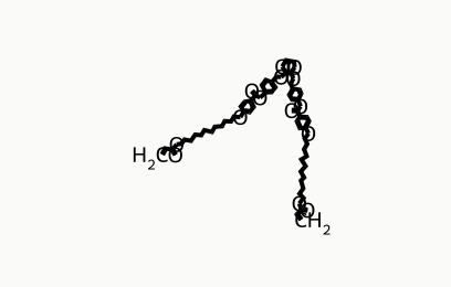 C=CC(=O)OCCCCCCCCCCCCOc1ccc(C(=O)Oc2ccc(COC3OCCOC3OCc3ccc(OC(=O)c4ccc(OCCCCCCCCCCCCOC(=O)C=C)cc4)cc3)cc2)cc1